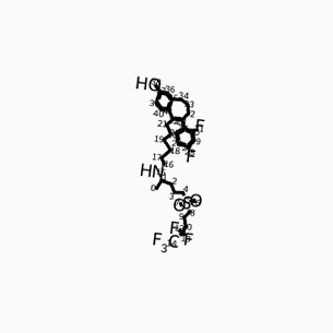 CC(CCCS(=O)(=O)CCCC(F)(F)C(F)(F)F)NCCCCCCC1=C(c2ccc(F)cc2F)CCCc2cc(O)ccc21